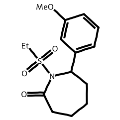 CCS(=O)(=O)N1C(=O)CCCCC1c1cccc(OC)c1